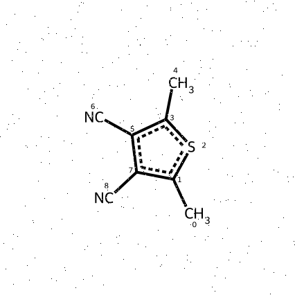 Cc1sc(C)c(C#N)c1C#N